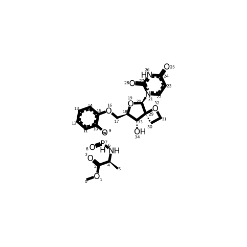 COC(=O)[C@H](C)N[PH](=O)Oc1ccccc1OC[C@H]1O[C@@H](n2ccc(=O)[nH]c2=O)[C@]2(CCO2)[C@@H]1O